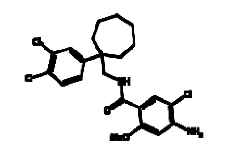 COc1cc(N)c(Cl)cc1C(=O)NCC1(c2ccc(Cl)c(Cl)c2)CCCCCC1